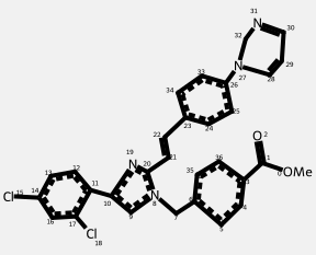 COC(=O)c1ccc(Cn2cc(-c3ccc(Cl)cc3Cl)nc2C=Cc2ccc(N3C=CC=NC3)cc2)cc1